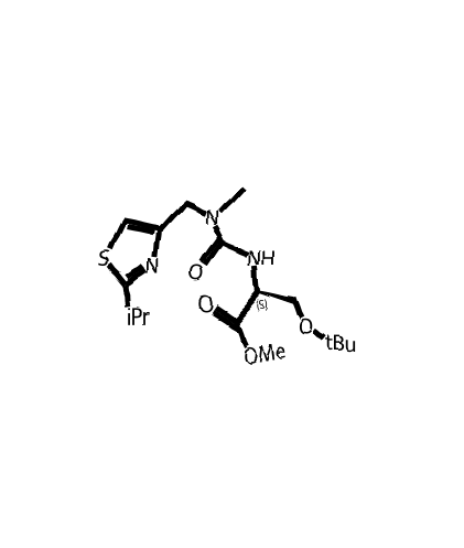 COC(=O)[C@H](COC(C)(C)C)NC(=O)N(C)Cc1csc(C(C)C)n1